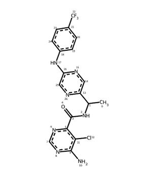 CC(NC(=O)c1ncnc(N)c1Cl)c1cnc(Nc2ccc(C(F)(F)F)cc2)cn1